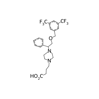 O=C(O)CCCN1CCN(C(COCc2cc(C(F)(F)F)cc(C(F)(F)F)c2)c2ccccc2)CC1